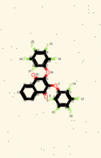 O=C1C(Oc2c(F)c(F)c(F)c(F)c2F)=C(Oc2c(F)c(F)c(F)c(F)c2F)C(=O)c2ccccc21